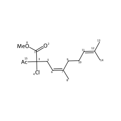 COC(=O)C(Cl)(CC=C(C)CCC=C(C)C)C(C)=O